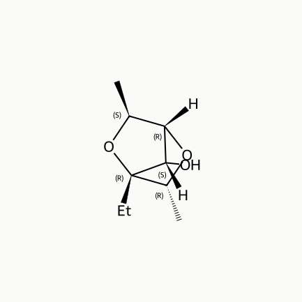 CC[C@]12O[C@@H](C)[C@H](O[C@@H]1C)[C@@H]2O